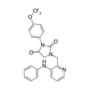 O=C1CN(Cc2ncccc2Nc2ccccc2)C(=O)N1c1ccc(OC(F)(F)F)cc1